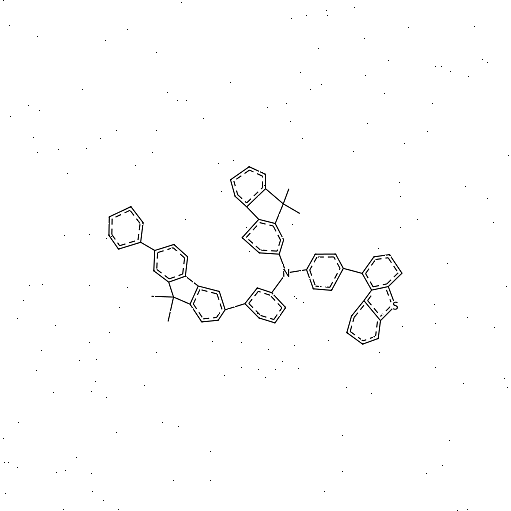 CC1(C)c2ccc(-c3cccc(N(c4ccc(-c5cccc6sc7ccccc7c56)cc4)c4ccc5c(c4)C(C)(C)c4ccccc4-5)c3)cc2-c2ccc(-c3ccccc3)cc21